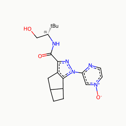 CC(C)(C)[C@@H](CO)NC(=O)c1nn(-c2c[n+]([O-])ccn2)c2c1CC1CCC21